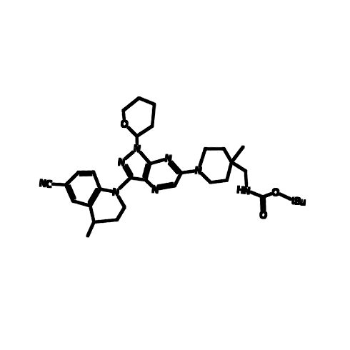 CC1CCN(c2nn(C3CCCCO3)c3nc(N4CCC(C)(CNC(=O)OC(C)(C)C)CC4)cnc23)c2ccc(C#N)cc21